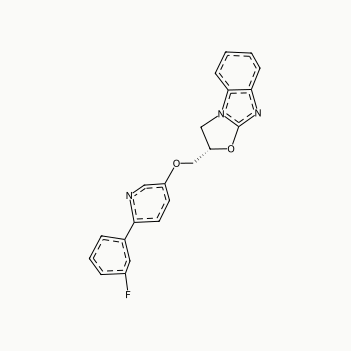 Fc1cccc(-c2ccc(OC[C@@H]3Cn4c(nc5ccccc54)O3)cn2)c1